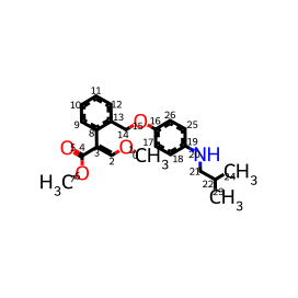 CO/C=C(/C(=O)OC)c1ccccc1COc1ccc(NCC(C)C)cc1